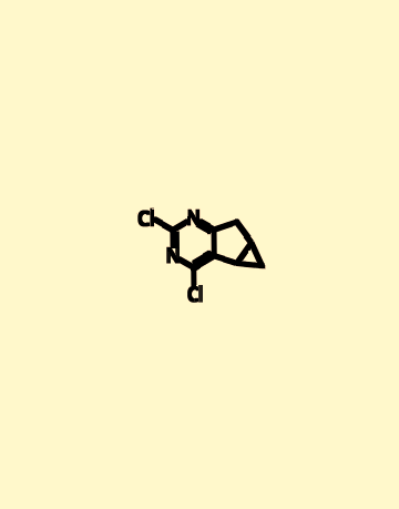 Clc1nc(Cl)c2c(n1)CC1CC21